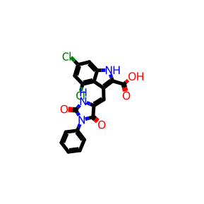 O=C(O)c1[nH]c2cc(Cl)cc(Cl)c2c1C=C1NC(=O)N(c2ccccc2)C1=O